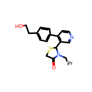 CC(C)CN1C(=O)CSC1c1cnccc1-c1ccc(CCO)cc1